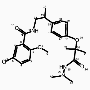 COc1ccc(Cl)cc1C(=O)NCC(C)c1ccc(OC(C)(C)C(=O)NN(C)C)cc1